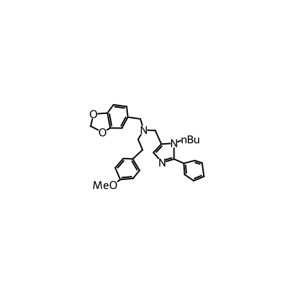 CCCCn1c(CN(CCc2ccc(OC)cc2)Cc2ccc3c(c2)OCO3)cnc1-c1ccccc1